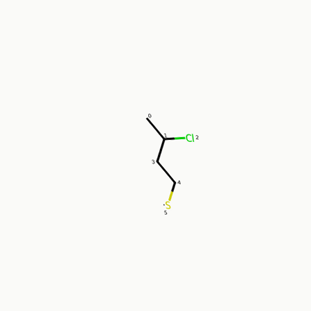 CC(Cl)CC[S]